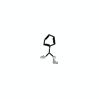 CCCC(OC(C)(C)C)c1ccccc1